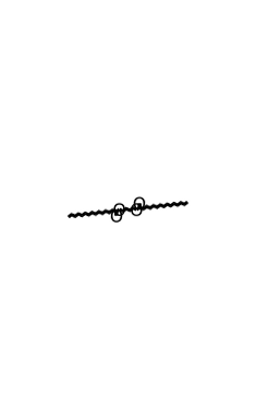 CCCCCCCCCCCCCCC(=O)OCCCCOC(=O)CCCCCCCCCCCCCC